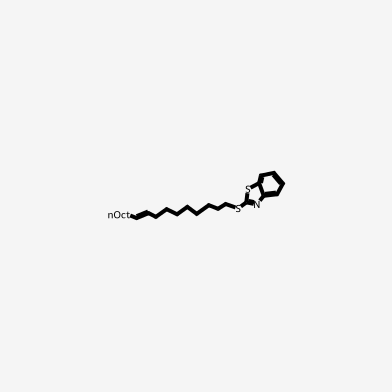 CCCCCCCCC=CCCCCCCCCSc1nc2ccccc2s1